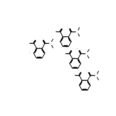 CN(C)C(=N)c1ccccc1C(=O)O.CN(C)C(=N)c1ccccc1C(=O)O.CN(C)C(=N)c1ccccc1C(=O)O.CN(C)C(=N)c1ccccc1C(=O)O.Cl.Cl.Cl.[Zr]